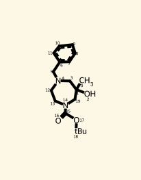 CC1(O)CN(Cc2ccccc2)CCN(C(=O)OC(C)(C)C)C1